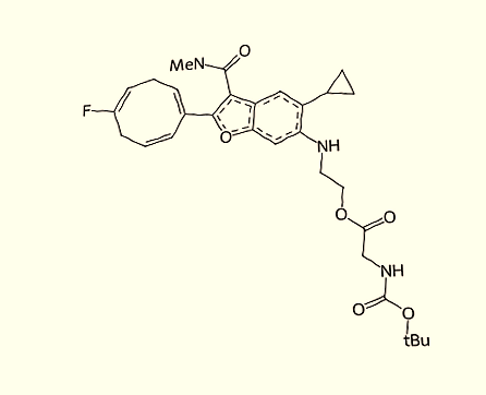 CNC(=O)c1c(C2=C/C/C=C(/F)C/C=C\2)oc2cc(NCCOC(=O)CNC(=O)OC(C)(C)C)c(C3CC3)cc12